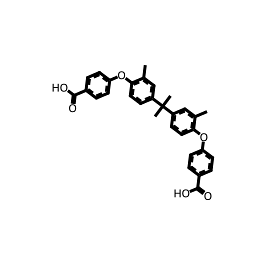 Cc1cc(C(C)(C)c2ccc(Oc3ccc(C(=O)O)cc3)c(C)c2)ccc1Oc1ccc(C(=O)O)cc1